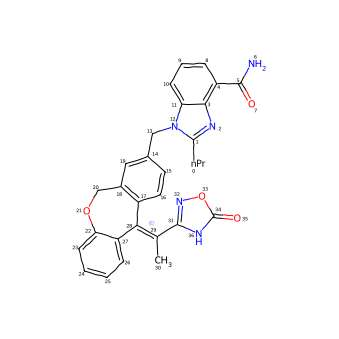 CCCc1nc2c(C(N)=O)cccc2n1Cc1ccc2c(c1)COc1ccccc1/C2=C(\C)c1noc(=O)[nH]1